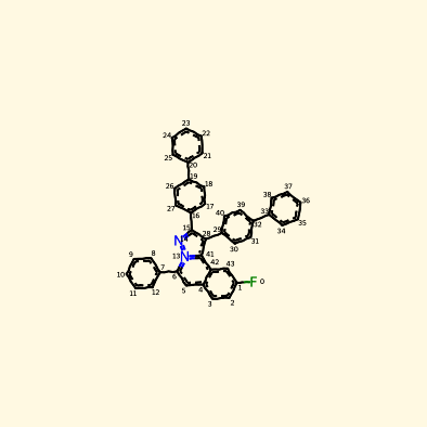 Fc1ccc2cc(-c3ccccc3)n3nc(-c4ccc(-c5ccccc5)cc4)c(-c4ccc(-c5ccccc5)cc4)c3c2c1